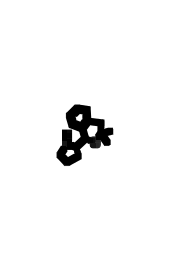 CC1(C)Cc2ccccc2[C@H]([C@H]2CCCN2)O1